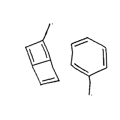 [CH2]c1cc2ccc1-2.[CH2]c1ccccc1